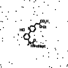 CCCCCCCNC(=O)N(C)c1cccc(-c2ccc(C=C(OCC)C(=O)O)cn2)c1.Cl